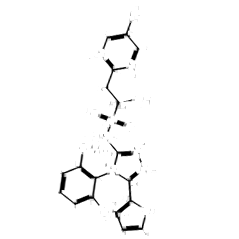 COc1cccc(OC)c1-n1c(NS(=O)(=O)[C@H](C)Cc2ncc(Br)cn2)nnc1-c1ccco1